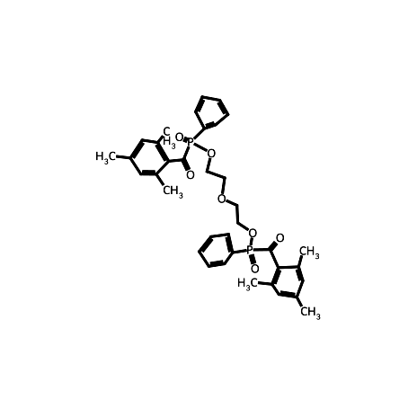 Cc1cc(C)c(C(=O)P(=O)(OCCOCCOP(=O)(C(=O)c2c(C)cc(C)cc2C)c2ccccc2)c2ccccc2)c(C)c1